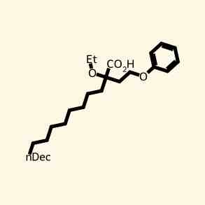 CCCCCCCCCCCCCCCCCCC(CCOc1ccccc1)(OCC)C(=O)O